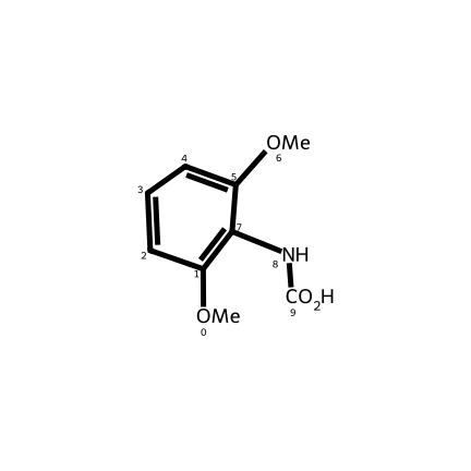 COc1cccc(OC)c1NC(=O)O